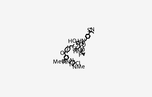 CNc1nc(Nc2ccc(C(=O)N3CCN(CC(C)SC(C)(C)C(NC(=O)C4(F)CC4)C(=O)N4C[C@H](O)C[C@H]4C(=O)NCc4ccc(-c5scnc5C)cc4)CC3)cc2OC)ncc1Cl